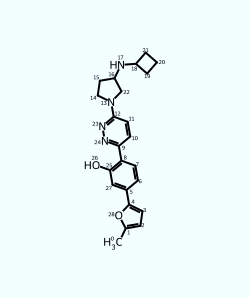 Cc1ccc(-c2ccc(-c3ccc(N4CCC(NC5CCC5)C4)nn3)c(O)c2)o1